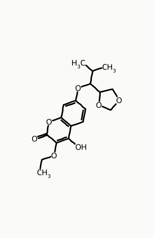 CCOc1c(O)c2ccc(OC(C(C)C)C3COCO3)cc2oc1=O